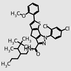 CCCC(CNC(=O)c1nn(-c2ccc(Cl)cc2Cl)c2c1Cc1cc(-c3ccccc3OC)sc1-2)C(C)C(C)(C)C